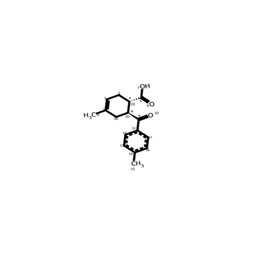 CC1=CC[C@H](C(=O)O)[C@@H](C(=O)c2ccc(C)cc2)C1